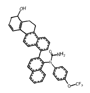 NC(=O)N(c1ccc(OC(F)(F)F)cc1)c1c(-c2cccc3c4c(ccc23)C2=C(CC4)C(O)CC=C2)ccc2ccccc12